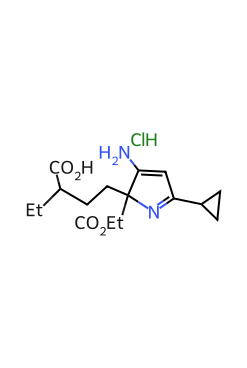 CCOC(=O)C1(CCC(CC)C(=O)O)N=C(C2CC2)C=C1N.Cl